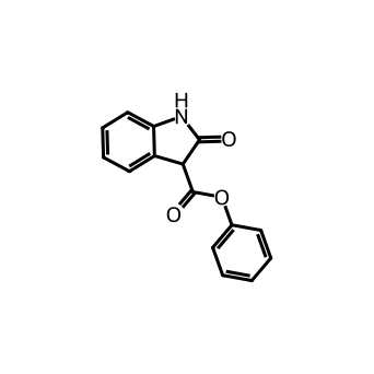 O=C1Nc2ccccc2C1C(=O)Oc1ccccc1